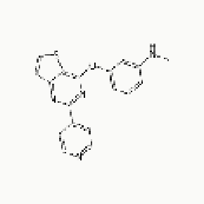 CNc1cccc(Oc2nc(-c3ccncc3)nc3ccsc23)c1